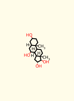 C[C@]12CC[C@H](O)C[C@@H]1C[C@H](O)[C@@H]1[C@@H]2CC[C@]2(C)[C@@H](O)[C@H](O)C[C@@H]12